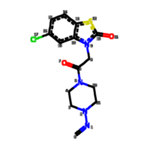 C=NN1CCN(C(=O)Cn2c(=O)sc3ccc(Cl)cc32)CC1